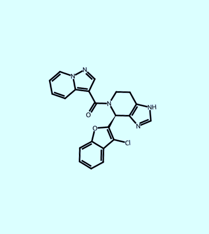 O=C(c1cnn2ccccc12)N1CCc2[nH]cnc2[C@H]1c1oc2ccccc2c1Cl